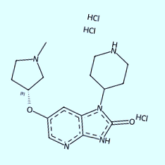 CN1CC[C@@H](Oc2cnc3[nH]c(=O)n(C4CCNCC4)c3c2)C1.Cl.Cl.Cl